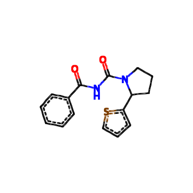 O=C(NC(=O)N1CCCC1c1cccs1)c1ccccc1